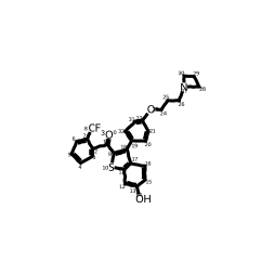 O=C(c1ccccc1C(F)(F)F)c1sc2cc(O)ccc2c1-c1ccc(OCCCN2CCC2)cc1